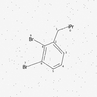 CC(C)Cc1cccc(Br)c1Br